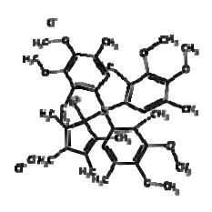 COc1c(C)cc([Si](c2cc(C)c(OC)c(OC)c2C)(c2cc(C)c(OC)c(OC)c2C)[C]2([Ti+3])C(C)=C(C)C(C)=C2C)c(C)c1OC.[Cl-].[Cl-].[Cl-]